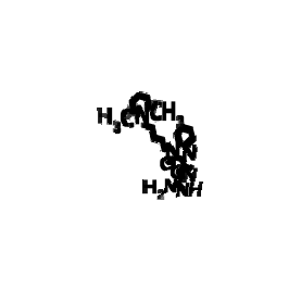 C[C@@H]1CCC[C@H](C)N1CCCCCn1c(=O)c(-c2cnc(C(=N)N)o2)nc2ccccc21